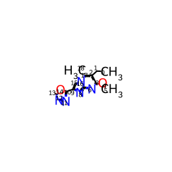 CCc1c(OC)nc2nc(-c3nnco3)cn2c1C